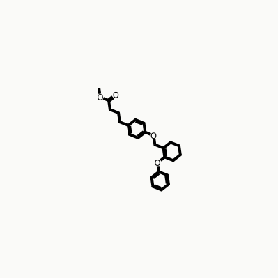 COC(=O)CCCc1ccc(OCC2=C(Oc3ccccc3)CCCC2)cc1